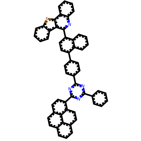 c1ccc(-c2nc(-c3ccc(-c4ccc(-c5nc6ccccc6c6sc7ccccc7c56)c5ccccc45)cc3)nc(-c3ccc4ccc5cccc6ccc3c4c56)n2)cc1